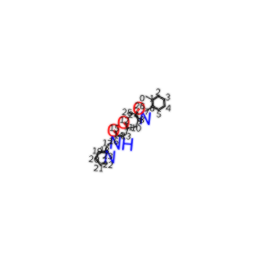 Cc1ccccc1-c1nc(CC(=O)CC(=O)NCc2ccccn2)c(C)o1